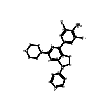 Nc1c(F)cc(-c2nc(N3CCOCC3)nc3c2CCN3c2ccncc2)cc1F